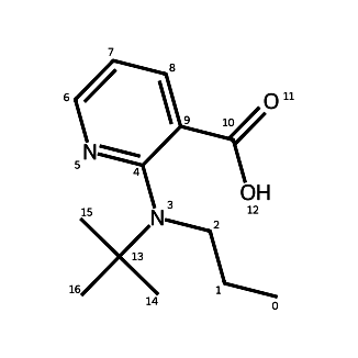 CCCN(c1ncccc1C(=O)O)C(C)(C)C